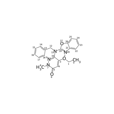 CCOc1cc(=O)n(C)nc1N(Cc1ccccc1)c1nc2ccccc2o1